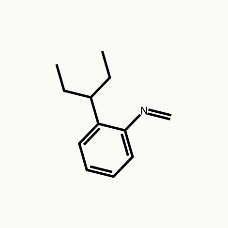 C=Nc1ccccc1C(CC)CC